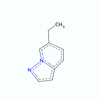 CCc1ccc2ccnn2c1